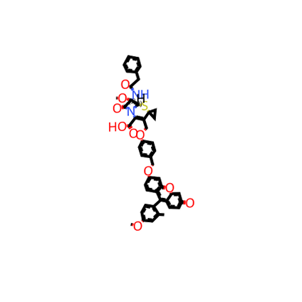 COc1ccc(-c2c3ccc(=O)cc-3oc3cc(OCc4ccc(OCC5=C(C(=O)O)N6C(=O)[C@](NC(=O)Cc7ccccc7)(OC)[C@H]6SC56CC6)cc4)ccc23)c(C)c1